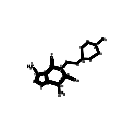 Cn1cnc2c1c(=O)n(CCN1CC[S+]([O-])CC1)c(=O)n2C